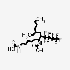 CCCCC(CC)CC(C(CCCCCNC(=O)O)NC(=O)O)C(F)(F)C(F)(F)C(F)(F)C(F)(F)F